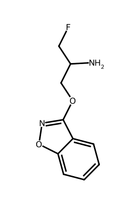 NC(CF)COc1noc2ccccc12